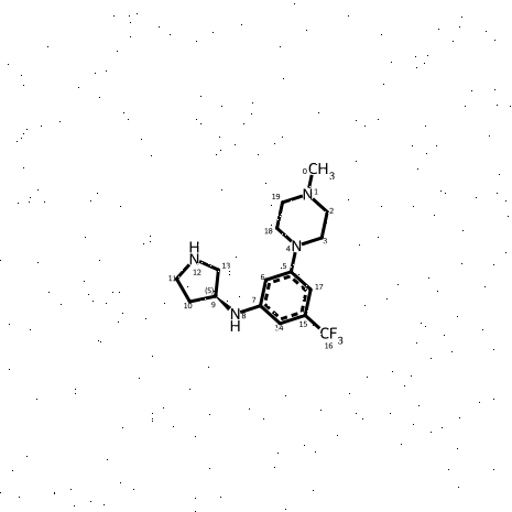 CN1CCN(c2cc(N[C@H]3CCNC3)cc(C(F)(F)F)c2)CC1